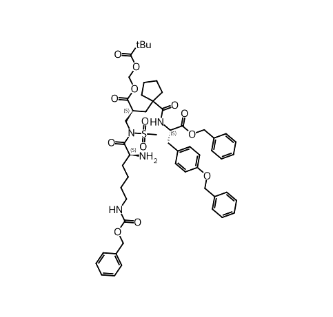 CC(C)(C)C(=O)OCOC(=O)[C@H](CN(C(=O)[C@@H](N)CCCCNC(=O)OCc1ccccc1)S(C)(=O)=O)CC1(C(=O)N[C@@H](Cc2ccc(OCc3ccccc3)cc2)C(=O)OCc2ccccc2)CCCC1